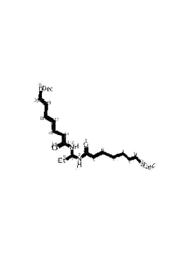 C[CH]C(NC(=O)CCCCCCCCCCCCCCCC)NC(=O)CCCCCCCCCCCCCCCC